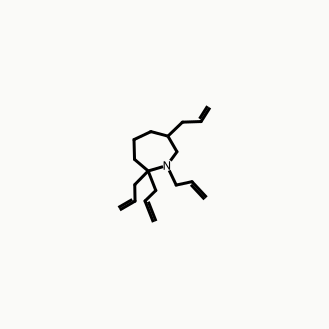 C=CCC1CCCC(CC=C)(CC=C)N(CC=C)C1